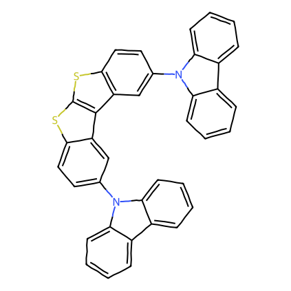 c1ccc2c(c1)c1ccccc1n2-c1ccc2sc3sc4ccc(-n5c6ccccc6c6ccccc65)cc4c3c2c1